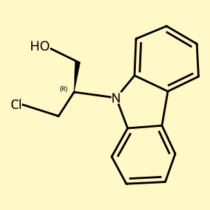 OC[C@H](CCl)n1c2ccccc2c2ccccc21